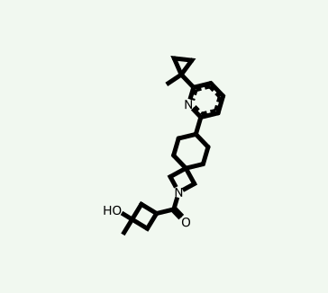 CC1(O)CC(C(=O)N2CC3(CCC(c4cccc(C5(C)CC5)n4)CC3)C2)C1